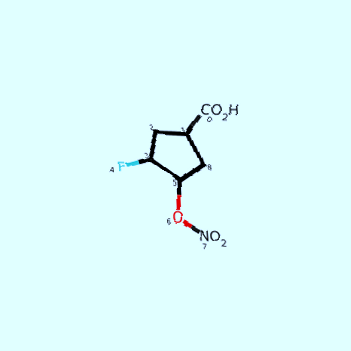 O=C(O)C1CC(F)C(O[N+](=O)[O-])C1